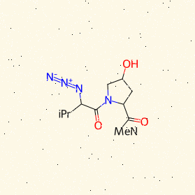 CNC(=O)C1CC(O)CN1C(=O)C(N=[N+]=[N-])C(C)C